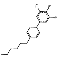 CCCCCCC1=CCC(c2cc(F)c(F)c(F)c2)C=C1